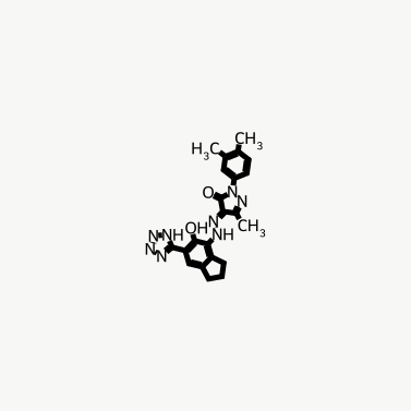 CC1=NN(c2ccc(C)c(C)c2)C(=O)/C1=N/Nc1c(O)c(-c2nnn[nH]2)cc2c1CCC2